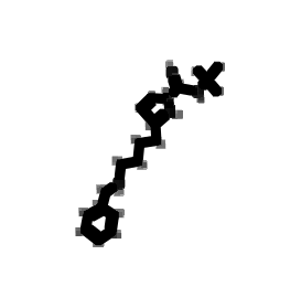 CC(C)(C)OC(=O)n1ccc(CCCCOCc2ccccc2)n1